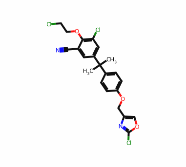 CC(C)(c1ccc(OCc2coc(Cl)n2)cc1)c1cc(Cl)c(OCCCl)c(C#N)c1